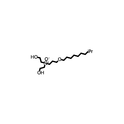 CC(C)CCCCCCCOCCC[N+]([O-])(CCO)CCO